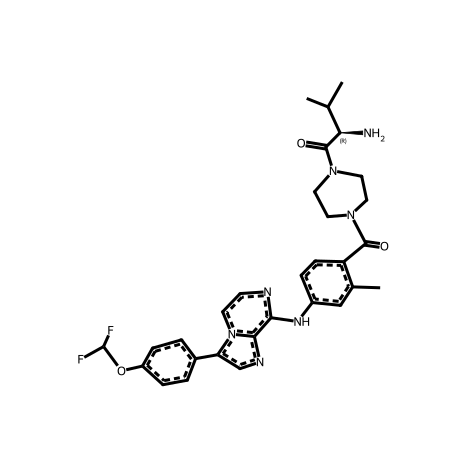 Cc1cc(Nc2nccn3c(-c4ccc(OC(F)F)cc4)cnc23)ccc1C(=O)N1CCN(C(=O)[C@H](N)C(C)C)CC1